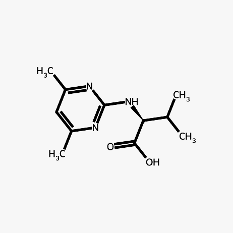 Cc1cc(C)nc(N[C@H](C(=O)O)C(C)C)n1